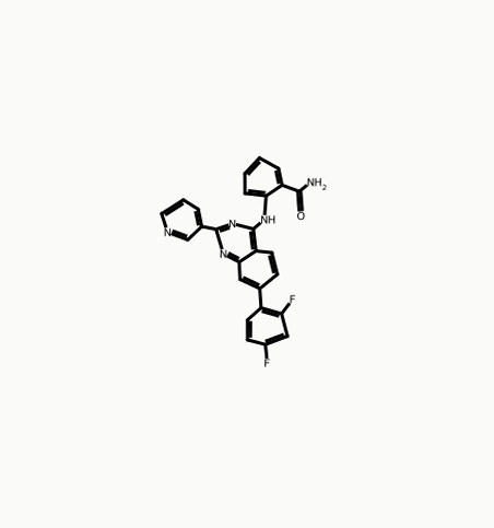 NC(=O)c1ccccc1Nc1nc(-c2cccnc2)nc2cc(-c3ccc(F)cc3F)ccc12